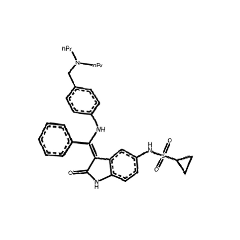 CCCN(CCC)Cc1ccc(NC(=C2C(=O)Nc3ccc(NS(=O)(=O)C4CC4)cc32)c2ccccc2)cc1